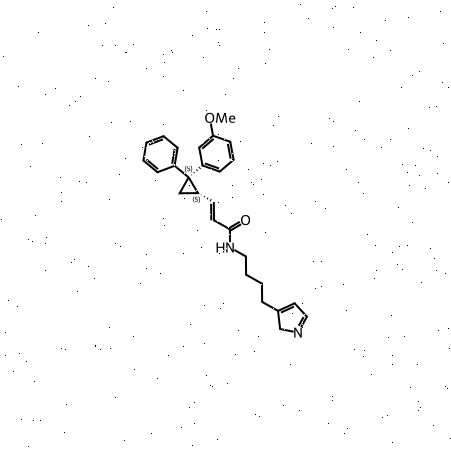 COc1cccc([C@@]2(c3ccccc3)C[C@H]2C=CC(=O)NCCCCC2=CC=NC2)c1